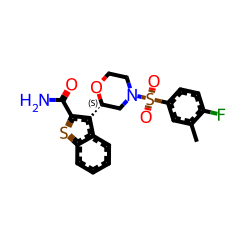 Cc1cc(S(=O)(=O)N2CCO[C@@H](c3c(C(N)=O)sc4ccccc34)C2)ccc1F